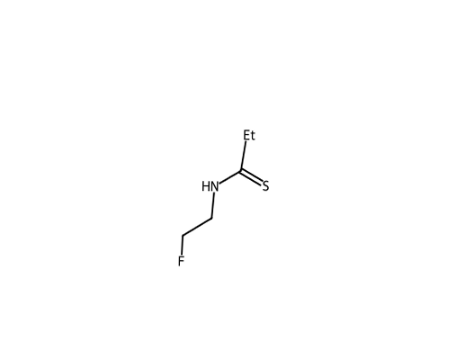 CCC(=S)NCCF